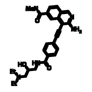 CCN(CC)CC(O)CNC(=O)c1ccc(C#Cc2c(N)ncc3ccc(C(=O)NC)cc23)cc1